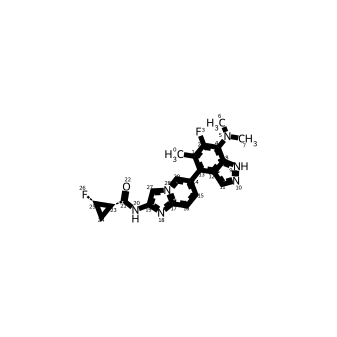 Cc1c(F)c(N(C)C)c2[nH]ncc2c1-c1ccc2nc(NC(=O)[C@@H]3C[C@@H]3F)cn2c1